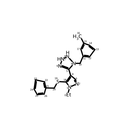 CCn1ncc(C2=NNNN2Cc2cccc(C)c2)c1SCc1ccccc1